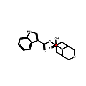 O=C(OC1CC2COCC(C1)N2C(=O)O)c1c[nH]c2ccccc12